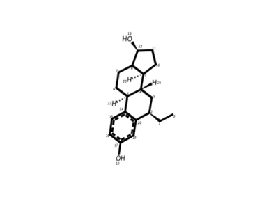 CC[C@@H]1C[C@@H]2[C@H](CCC3[C@H]2CC[C@@H]3O)c2ccc(O)cc21